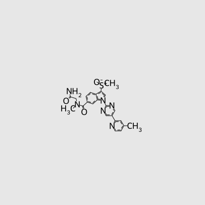 Cc1ccnc(-c2cnc(-n3cc([S+](C)[O-])c4ccc(C(=O)N(C)CC(N)=O)cc43)nc2)c1